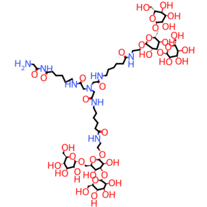 NCC(=O)NC(=O)CCCCCNC(=O)CN(CC(=O)NCCCCCC(=O)NCCO[C@H]1O[C@H](CO[C@H]2O[C@H](CO)[C@@H](O)[C@H](O)[C@@H]2O)[C@@H](O)[C@H](O[C@H]2O[C@H](CO)[C@@H](O)[C@H](O)[C@@H]2O)[C@@H]1O)CC(=O)NCCCCCC(=O)NCCO[C@H]1O[C@H](CO[C@H]2O[C@H](CO)[C@@H](O)[C@H](O)[C@@H]2O)[C@@H](O)[C@H](O[C@H]2O[C@H](CO)[C@@H](O)[C@H](O)[C@@H]2O)[C@@H]1O